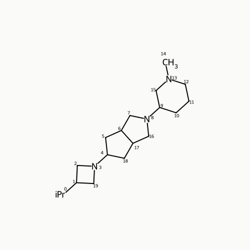 CC(C)C1CN(C2CC3CN(C4CCCN(C)C4)CC3C2)C1